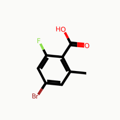 Cc1cc(Br)cc(F)c1C(=O)O